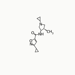 C[C@@H]1CN(C2CC2)C[C@@H]1NC(=O)c1cc(C2CC2)no1